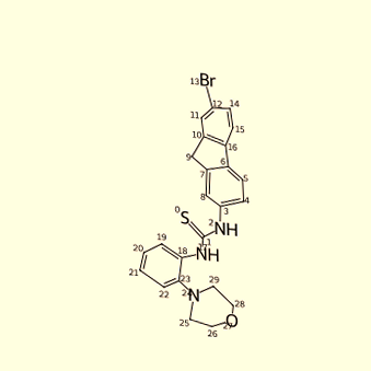 S=C(Nc1ccc2c(c1)Cc1cc(Br)ccc1-2)Nc1ccccc1N1CCOCC1